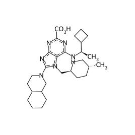 C[C@@H](Nc1nc(C(=O)O)nc2nc(N3CCC4CCCCC4C3)n(C[C@H]3CC[C@H](C)CC3)c12)C1CCC1